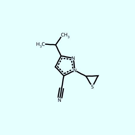 CC(C)c1cc(C#N)n(C2CS2)n1